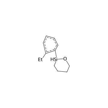 CCc1ccccc1[SiH]1CCCCO1